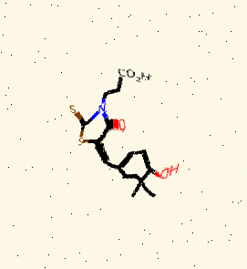 CC1(C)CC(C=C2SC(=S)N(CCC(=O)O)C2=O)=CC=C1O